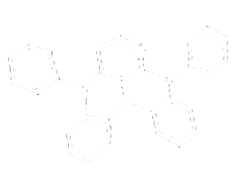 c1ccc(N2c3ccccc3B3c4ccccc4N(c4ccccc4)c4nccc2c43)cc1